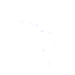 COc1ccc(NC(=O)c2ccc(N3CCN(C(=O)c4cc(-c5cncc(O)c5)cc(C(C)(C)C)c4)CC3)nn2)cc1